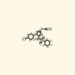 C#CCn1cc(-c2ccc(Cl)cc2)c(NS(=O)(=O)c2ccccc2)n1